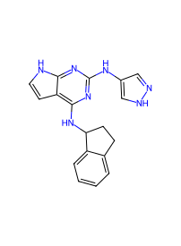 c1ccc2c(c1)CCC2Nc1nc(Nc2cn[nH]c2)nc2[nH]ccc12